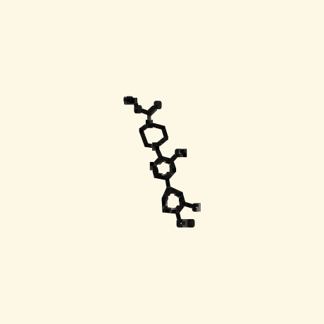 CC(C)(C)OC(=O)N1CCN(c2ncc(-c3ccc(C=O)c(Cl)c3)cc2C#N)CC1